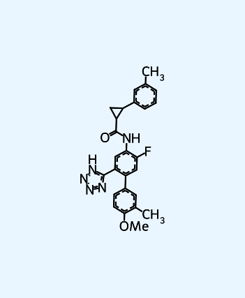 COc1ccc(-c2cc(F)c(NC(=O)C3CC3c3cccc(C)c3)cc2-c2nnn[nH]2)cc1C